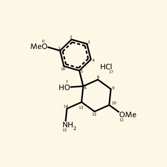 COc1cccc(C2(O)CCC(OC)CC2CN)c1.Cl